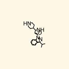 CC(C)c1nn(C2=CC(C3CCNCC3)NO2)c2ccccc12